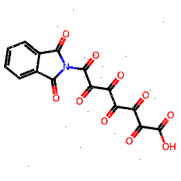 O=C(O)C(=O)C(=O)C(=O)C(=O)C(=O)C(=O)N1C(=O)c2ccccc2C1=O